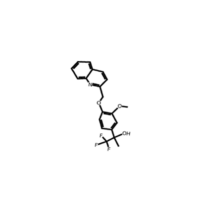 COc1cc(C(C)(O)C(F)(F)F)ccc1OCc1ccc2ccccc2n1